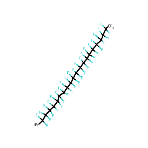 CC(C)C(F)(F)C(F)(F)C(F)(F)C(F)(F)C(F)(F)C(F)(F)C(F)(F)C(F)(F)C(F)(F)C(F)(F)C(F)(F)C(F)(F)C(F)(F)C(F)(F)C(F)(F)C(F)(F)C(F)(F)C(F)(F)C(F)(F)C(F)(F)C(F)(F)F